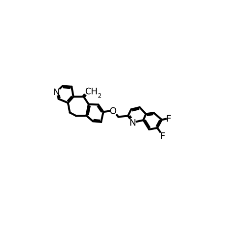 C=C1c2ccncc2CCc2ccc(OCc3ccc4cc(F)c(F)cc4n3)cc21